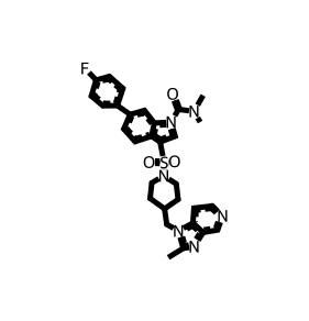 Cc1nc2cnccc2n1CC1CCN(S(=O)(=O)c2cn(C(=O)N(C)C)c3cc(-c4ccc(F)cc4)ccc23)CC1